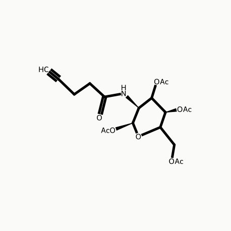 C#CCCC(=O)N[C@H]1C(OC(C)=O)[C@@H](OC(C)=O)C(COC(C)=O)O[C@H]1OC(C)=O